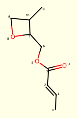 CC=CC(=O)OCC1OCC1C